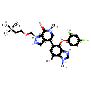 Cn1cc(-c2cc(C=O)c3c(ncn3C)c2Oc2ccc(F)cc2F)c2cnn(COCC[Si](C)(C)C)c2c1=O